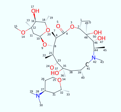 CC[C@H]1OC(=O)[C@H](C)[C@@H](O[C@H]2C[C@@](C)(OC)[C@@H](O)[C@H](C)O2)[C@H](C)[C@@H](O[C@H]2[CH][C@H](N(C)C)C[C@@H](C)O2)[C@](C)(O)C[C@@H](C)CN(C)[C@H](C)[C@@H](O)[C@]1(C)O